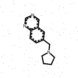 c1ncc2cc(CN3CCCC3)ccc2n1